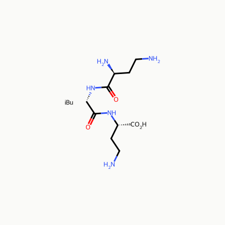 CC[C@H](C)[C@H](NC(=O)[C@@H](N)CCN)C(=O)N[C@@H](CCN)C(=O)O